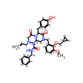 C=CCN1CC(=O)N2C(Cc3ccc(O)cc3)C(=O)N(Cc3cccc(OC)c3OCC3CC3)CC2N1C(=O)NCc1ccccc1